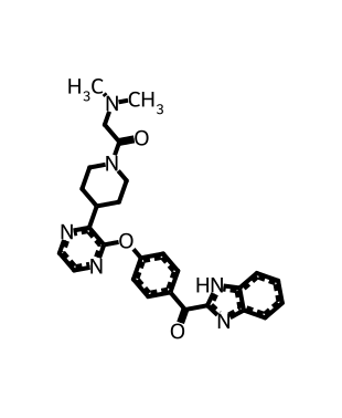 CN(C)CC(=O)N1CCC(c2nccnc2Oc2ccc(C(=O)c3nc4ccccc4[nH]3)cc2)CC1